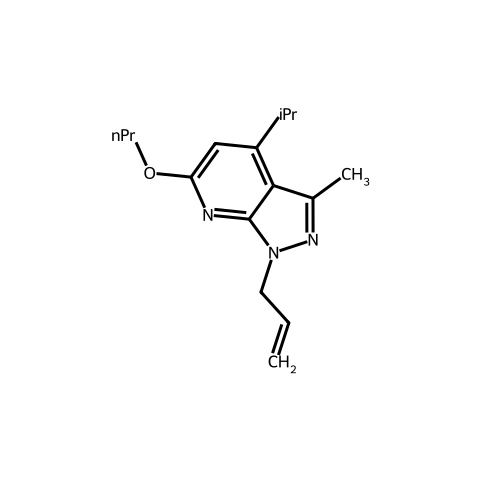 C=CCn1nc(C)c2c(C(C)C)cc(OCCC)nc21